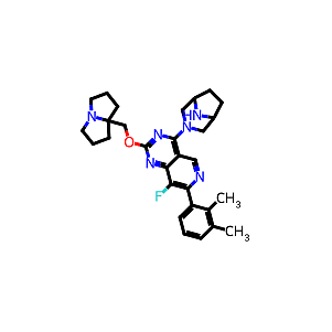 Cc1cccc(-c2ncc3c(N4CC5CCC(C4)N5)nc(OCC45CCCN4CCC5)nc3c2F)c1C